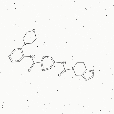 O=C(Nc1ccccc1N1CCOCC1)c1ccc(NC(=O)N2CCc3sccc3C2)cc1